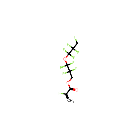 C=C(F)C(=O)OCC(F)(F)C(F)(F)OC(F)(F)C(F)(F)CF